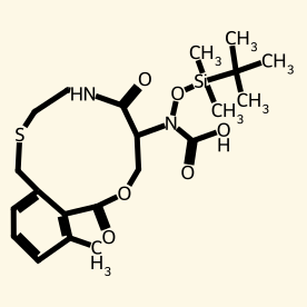 Cc1cccc2c1C(=O)OCC(N(O[Si](C)(C)C(C)(C)C)C(=O)O)C(=O)NCCSC2